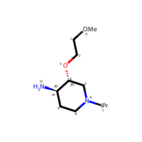 COCCO[C@@H]1CN(C(C)C)CC[C@H]1N